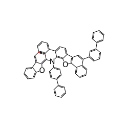 c1ccc(-c2ccc(N(c3cccc4c3oc3ccccc34)c3c(-c4ccccc4)ccc4c3oc3c5ccccc5c(-c5cccc(-c6ccccc6)c5)cc43)cc2)cc1